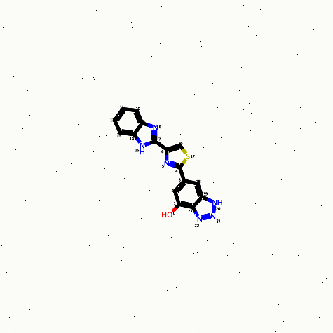 Oc1cc(-c2nc(-c3nc4ccccc4[nH]3)cs2)cc2[nH]nnc12